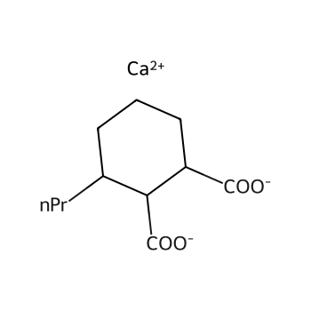 CCCC1CCCC(C(=O)[O-])C1C(=O)[O-].[Ca+2]